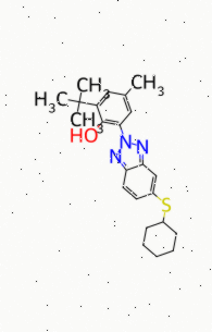 Cc1cc(-n2nc3ccc(SC4CCCCC4)cc3n2)c(O)c(C(C)(C)C)c1